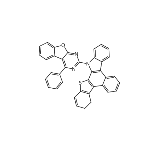 C1=Cc2sc3c(c2CC1)c1ccccc1c1c2ccccc2n(-c2nc(-c4ccccc4)c4c(n2)oc2ccccc24)c31